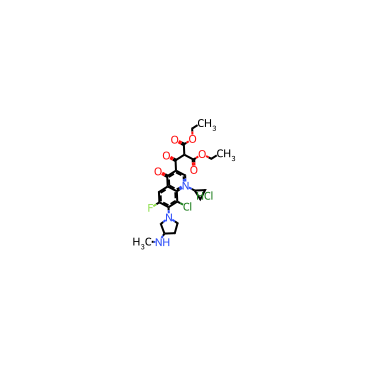 CCOC(=O)C(C(=O)OCC)C(=O)c1cn(C2CC2)c2c(Cl)c(N3CCC(NC)C3)c(F)cc2c1=O.Cl